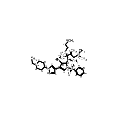 C=C(CN(C)C)C(C)(OCCC)N(C)c1c(NC)c(-c2cnn(C3CCN(CC)CC3)c2)cn1S(=O)(=O)c1ccccc1